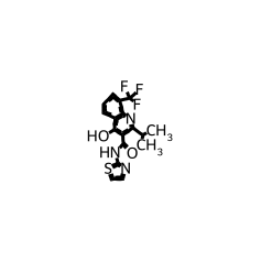 CC(C)c1nc2c(C(F)(F)F)cccc2c(O)c1C(=O)Nc1nccs1